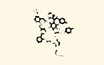 C=CCOC[C@H](COS(=O)(=O)c1ccc(C)cc1)Oc1c(Cl)c(C)c(-c2c(-c3ccc(F)cc3)sc3ncnc(O[C@H](Cc4cc(O[Si](C)(C)C(C)(C)C)ccc4OCc4ccnc(-c5ccccc5OCCOCCOCCOC)n4)C(=O)OCC)c23)c(C)c1Cl